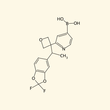 CC(c1ccc2c(c1)OC(F)(F)O2)C1(c2cc(B(O)O)ccn2)COC1